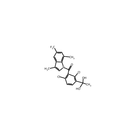 Cc1cn(C(=O)c2c(Cl)ccc(C(C)(O)O)c2Cl)c2c(C)cc(C(F)(F)F)cc12